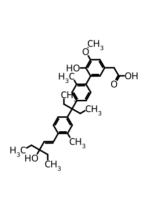 CCC(O)(C=Cc1ccc(C(CC)(CC)c2ccc(-c3cc(CC(=O)O)cc(OC)c3O)c(C)c2)cc1C)CC